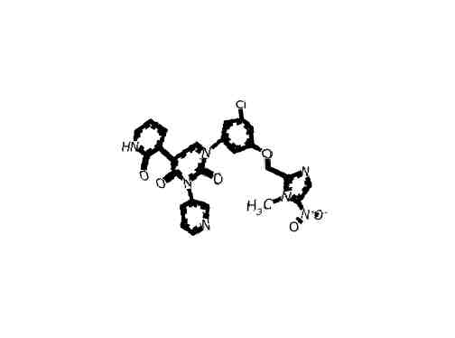 Cn1c([N+](=O)[O-])cnc1COc1cc(Cl)cc(-n2cc(-c3ccc[nH]c3=O)c(=O)n(-c3cccnc3)c2=O)c1